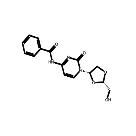 O=C(Nc1ccn([C@@H]2CO[C@H](CO)O2)c(=O)n1)c1ccccc1